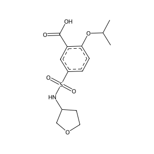 CC(C)Oc1ccc(S(=O)(=O)NC2CCOC2)cc1C(=O)O